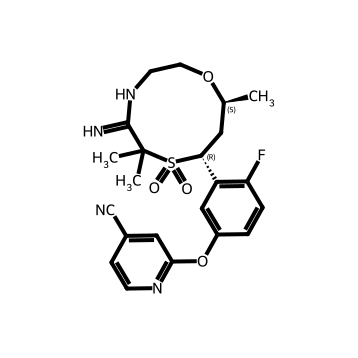 C[C@H]1C[C@H](c2cc(Oc3cc(C#N)ccn3)ccc2F)S(=O)(=O)C(C)(C)C(=N)NCCO1